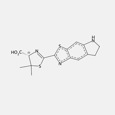 CC1(C)SC(c2nc3cc4c(cc3s2)NCC4)=N[C@H]1C(=O)O